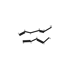 C=C/C=C/C.C=CC/C=C/C